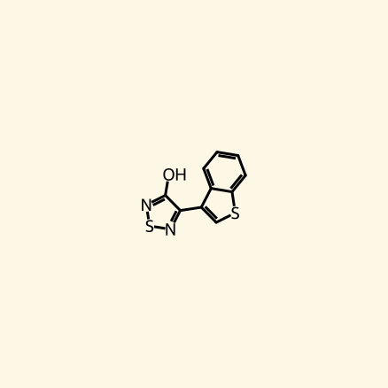 Oc1nsnc1-c1csc2ccccc12